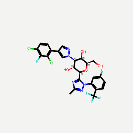 Cc1nc([C@@H]2O[C@H](CO)[C@H](O)[C@H](n3cc(-c4ccc(Cl)c(F)c4Cl)cn3)[C@H]2O)n(-c2cc(Cl)ccc2C(F)(F)F)n1